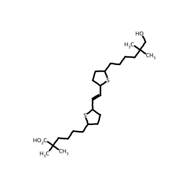 CC(C)(CO)CCCCC1CCC(C=CC2CCC(CCCCC(C)(C)C(=O)O)S2)S1